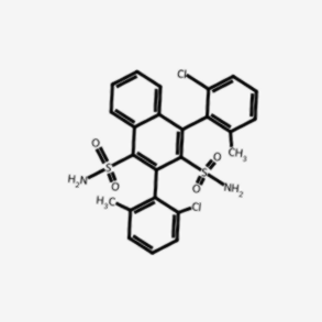 Cc1cccc(Cl)c1-c1c(S(N)(=O)=O)c(-c2c(C)cccc2Cl)c2ccccc2c1S(N)(=O)=O